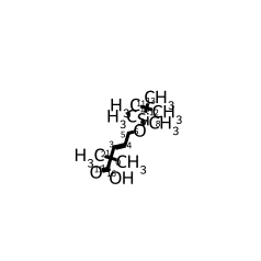 CC(C)(/C=C/CO[Si](C)(C)C(C)(C)C)C(=O)O